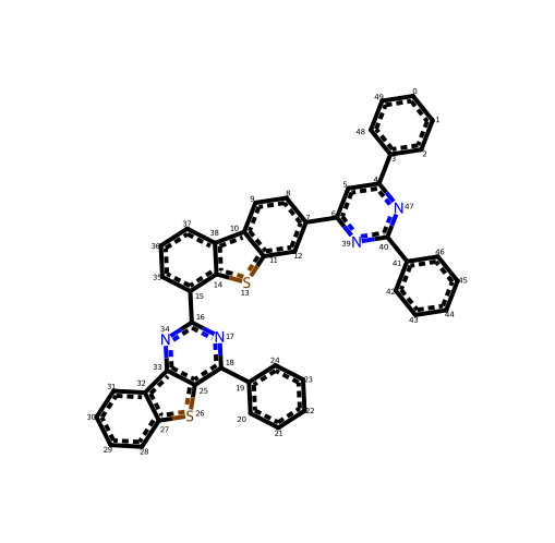 c1ccc(-c2cc(-c3ccc4c(c3)sc3c(-c5nc(-c6ccccc6)c6sc7ccccc7c6n5)cccc34)nc(-c3ccccc3)n2)cc1